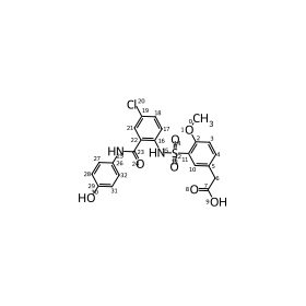 COc1ccc(CC(=O)O)cc1S(=O)(=O)Nc1ccc(Cl)cc1C(=O)Nc1ccc(O)cc1